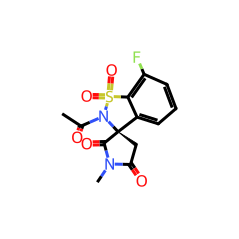 CC(=O)N1[C@]2(CC(=O)N(C)C2=O)c2cccc(F)c2S1(=O)=O